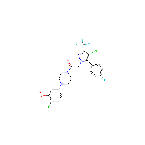 COc1cc(N2CCN(C(=O)Cn3nc(C(F)(F)F)c(Cl)c3-c3ccc(F)cc3)CC2)ccc1Cl